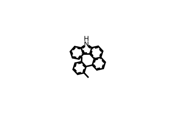 Cc1cccc(C)c1-c1cccc2ccc3[nH]c4ccccc4c3c12